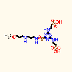 COCCCNCCCNOSc1nc(NCCS(=O)(=O)O)nc(NCCS(=O)(=O)O)n1